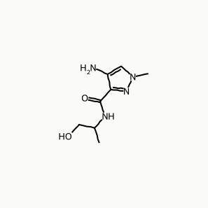 CC(CO)NC(=O)c1nn(C)cc1N